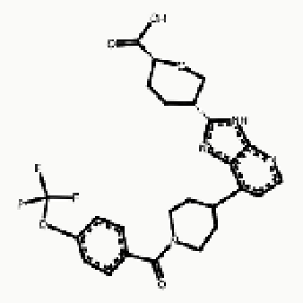 O=C(c1ccc(OC(F)(F)F)cc1)N1CCC(c2ccnc3[nH]c([C@H]4CC[C@H](C(=O)O)CC4)nc23)CC1